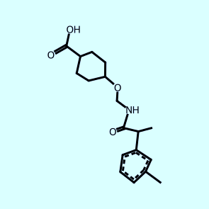 Cc1cccc(C(C)C(=O)NCOC2CCC(C(=O)O)CC2)c1